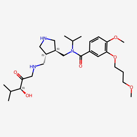 COCCCOc1cc(C(=O)N(C[C@@H]2CNC[C@H]2CNCC(=O)[C@@H](O)C(C)C)C(C)C)ccc1OC